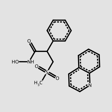 CS(=O)(=O)CC(C(=O)NO)c1ccccc1.c1ccc2ncccc2c1